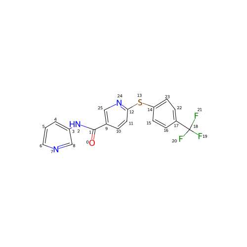 O=C(Nc1cccnc1)c1ccc(Sc2ccc(C(F)(F)F)cc2)nc1